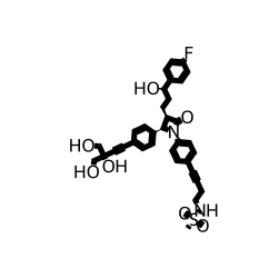 CS(=O)(=O)NCCC#Cc1ccc(N2C(=O)[C@H](CC[C@H](O)c3ccc(F)cc3)[C@H]2c2ccc(C#CC(O)(CO)CO)cc2)cc1